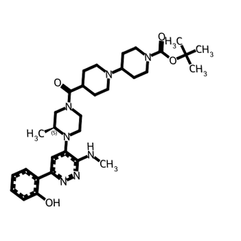 CNc1nnc(-c2ccccc2O)cc1N1CCN(C(=O)C2CCN(C3CCN(C(=O)OC(C)(C)C)CC3)CC2)C[C@@H]1C